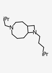 CC(C)CCCN1CC2CCN(CC(C)C)CCCC21